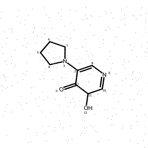 O=C1C(N2CCCC2)=[C]N=CC1O